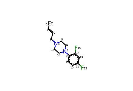 CCC=CCN1CCN(c2ccc(F)cc2F)CC1